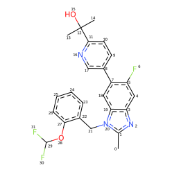 Cc1nc2cc(F)c(-c3ccc(C(C)(C)O)nc3)cc2n1Cc1ccccc1OC(F)F